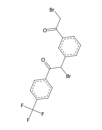 O=C(CBr)c1cccc(C(Br)C(=O)c2ccc(C(F)(F)F)cc2)c1